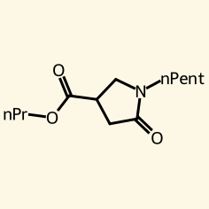 CCCCCN1CC(C(=O)OCCC)CC1=O